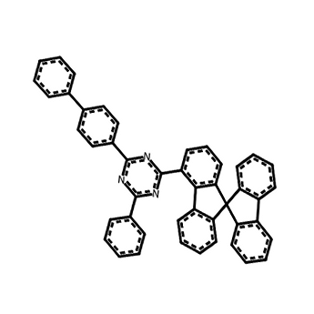 c1ccc(-c2ccc(-c3nc(-c4ccccc4)nc(-c4cccc5c4-c4ccccc4C54c5ccccc5-c5ccccc54)n3)cc2)cc1